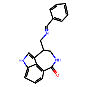 O=C1NCC(C/N=C/c2ccccc2)c2c[nH]c3cccc1c23